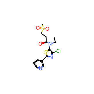 CCN(C(=O)CCS(C)(=O)=O)c1sc(-c2cccnc2)nc1Cl